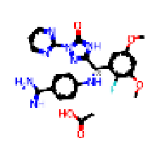 CC(=O)O.COc1cc(OC)c(F)c([C@H](Nc2ccc(C(=N)N)cc2)c2nn(-c3ncccn3)c(=O)[nH]2)c1